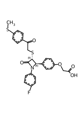 CSc1ccc(C(=O)CS[C@H]2C(=O)N(c3ccc(F)cc3)[C@@H]2c2ccc(OCC(=O)O)cc2)cc1